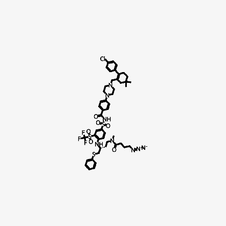 CN(CC[C@H](CSc1ccccc1)Nc1ccc(S(=O)(=O)NC(=O)c2ccc(N3CCN(CC4=C(c5ccc(Cl)cc5)CCC(C)(C)C4)CC3)cc2)cc1S(=O)(=O)C(F)(F)F)C(=O)CCCN=[N+]=[N-]